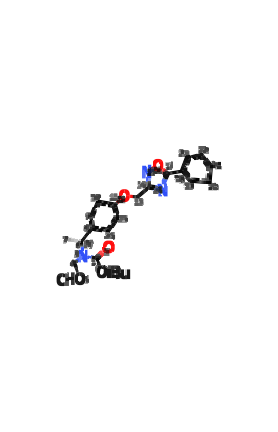 CC(C)COC(=O)N(CC=O)[C@H](C)c1ccc(OCc2noc(-c3ccccc3)n2)cc1